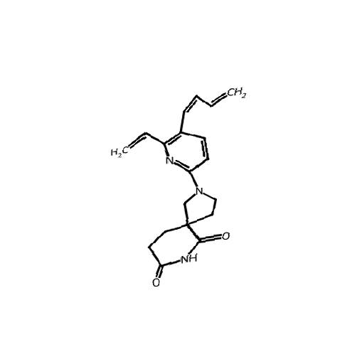 C=C/C=C\c1ccc(N2CCC3(CCC(=O)NC3=O)C2)nc1C=C